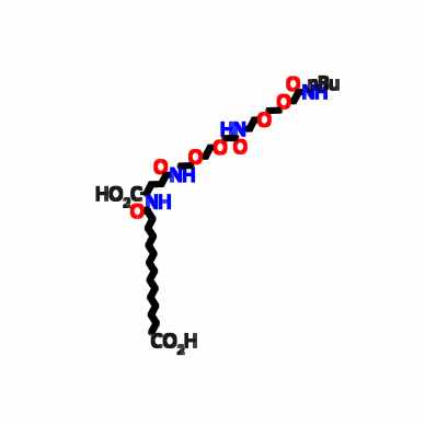 CCCCNC(=O)COCCOCCNC(=O)COCCOCCNC(=O)CC[C@H](NC(=O)CCCCCCCCCCCCCCC(=O)O)C(=O)O